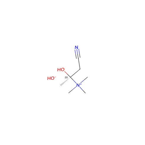 C[C@](O)(CC#N)[N+](C)(C)C.[OH-]